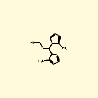 CC1=CC=CC1C(O[CH2][Hf])C1C=CC=C1C